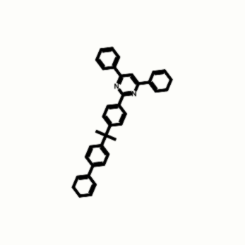 CC(C)(c1ccc(C2=CCCC=C2)cc1)c1ccc(-c2nc(C3=CCCC=C3)cc(-c3ccccc3)n2)cc1